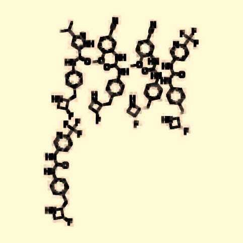 CC(C)c1cc(C(=O)Nc2ccc(C[C@@H]3NC[C@@H]3F)cc2)[nH]n1.COc1ccc(C#N)cc1NC(=O)Nc1ccc(C[C@@H]2NC[C@@H]2F)cc1.COc1ccc(C#N)cc1NC(=O)Nc1ccc(C[C@H]2NC[C@H]2F)cc1.O=C(Nc1ccc(C[C@@H]2NC[C@@H]2F)cc1)Nc1ccc(C(F)(F)F)nc1.O=C(Nc1ccc(C[C@H]2NC[C@H]2F)cc1)Nc1ccc(C(F)(F)F)nc1